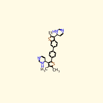 CCc1sc2cc(-c3ccc(-c4sc(C)c(C)c4C4C=CN=CN4)cc3)ccc2c1C1C=CN=CN1